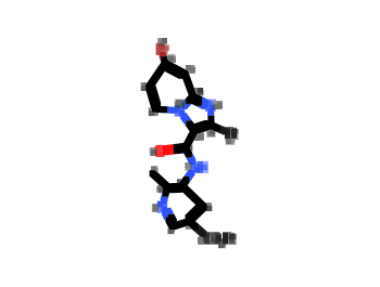 CCOC(=O)c1cnc(C)c(NC(=O)c2c(CC)nc3cc(Br)ccn23)c1